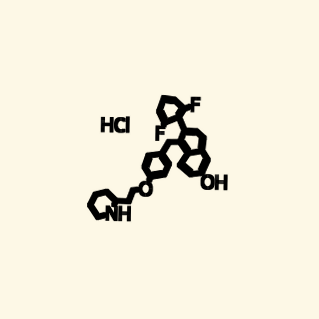 Cl.Oc1ccc2c(Cc3ccc(OCCC4CCCCN4)cc3)c(-c3c(F)cccc3F)ccc2c1